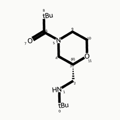 CC(C)(C)NC[C@@H]1CN(C(=O)C(C)(C)C)CCO1